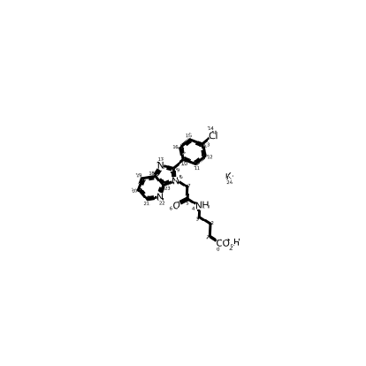 O=C(O)CCCNC(=O)Cn1c(-c2ccc(Cl)cc2)nc2cccnc21.[K]